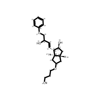 N#CCCCOC1C[C@H]2C[C@H](O)[C@@H](C=CC(O)COc3ccccc3)[C@@H]2C1